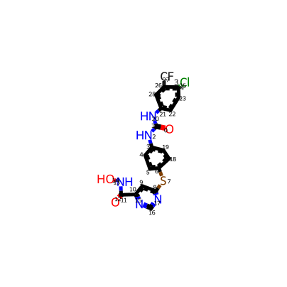 O=C(Nc1ccc(Sc2cc(C(=O)NO)ncn2)cc1)Nc1ccc(Cl)c(C(F)(F)F)c1